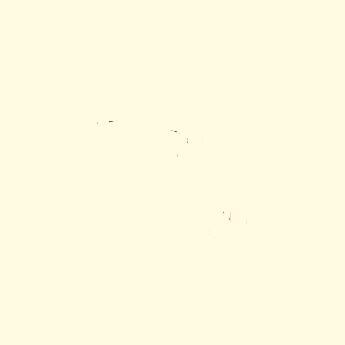 CO[C@H]1CC[C@@H](OS(=O)(=O)c2ccc([N+](=O)[O-])cc2)CC1